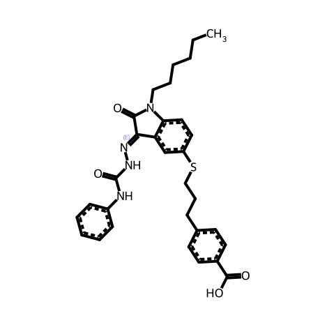 CCCCCCN1C(=O)/C(=N/NC(=O)Nc2ccccc2)c2cc(SCCCc3ccc(C(=O)O)cc3)ccc21